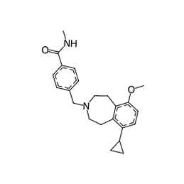 CNC(=O)c1ccc(CN2CCc3c(OC)ccc(C4CC4)c3CC2)cc1